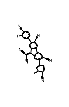 N#CC(C#N)=C1c2cc(C3=CC(F)C(C#N)C=C3)c(C#N)cc2-c2cc(C#N)c(-c3ccc(C#N)c(F)c3)cc21